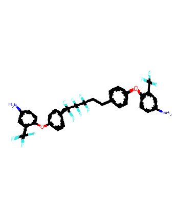 Nc1ccc(Oc2ccc(CCC(F)(F)C(F)(F)C(F)(F)c3ccc(Oc4ccc(N)cc4C(F)(F)F)cc3)cc2)c(C(F)(F)F)c1